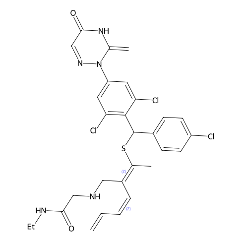 C=C/C=C\C(CNCC(=O)NCC)=C(/C)SC(c1ccc(Cl)cc1)c1c(Cl)cc(N2N=CC(=O)NC2=C)cc1Cl